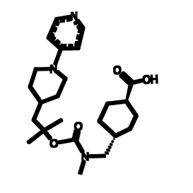 CN(C[C@H]1CC[C@H](C(=O)O)CC1)C(=O)OC(C)(C)CC1CCN(c2ccncc2)CC1